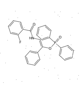 O=C(NC=C(OP(=O)(c1ccccc1)c1ccccc1)c1ccccc1)c1ccccc1F